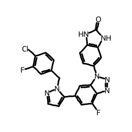 O=c1[nH]c2ccc(-n3nnc4c(F)cc(-c5ccnn5Cc5ccc(Cl)c(F)c5)cc43)cc2[nH]1